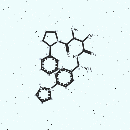 CC(=O)OC(C(=O)N[C@H](C)c1ccc(-n2cccn2)cc1)C(OC(C)=O)C(=O)N1CCCC1c1ccccc1